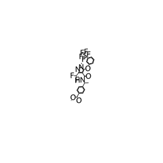 COC(=O)c1ccc(C(C)NC(=O)c2c(C(F)F)nn(C)c2Oc2cccc(S(F)(F)(F)(F)F)c2)cc1